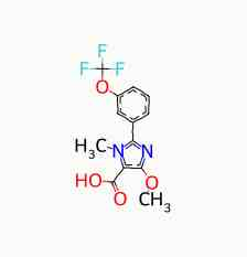 COc1nc(-c2cccc(OC(F)(F)F)c2)n(C)c1C(=O)O